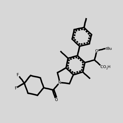 Cc1ccc(-c2c(C)c3c(c(C)c2C(OC(C)(C)C)C(=O)O)CN(C(=O)C2CCC(F)(F)CC2)C3)cc1